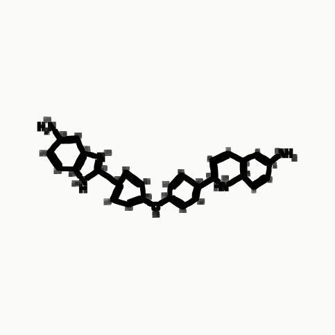 Nc1ccc2c(c1)C=C=C(c1ccc(Oc3ccc(-c4nc5cc(N)ccc5[nH]4)cc3)cc1)N2